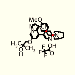 COc1ccc(CN2CC3CCC(C2)N3c2ccc(-c3cc(OCC(C)(C)O)cn4ncc(C#N)c34)cn2)cn1.O=C(O)C(F)(F)F